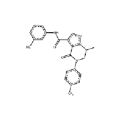 CC1CN(c2ccc(C(F)(F)F)cc2)C(=O)c2c(C(=O)Nc3cccc(C#N)c3)cnn21